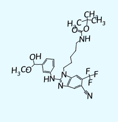 COC(O)c1cccc(Nc2nc3cc(C#N)c(C(F)(F)F)cc3n2CCCCCNC(=O)OC(C)(C)C)c1